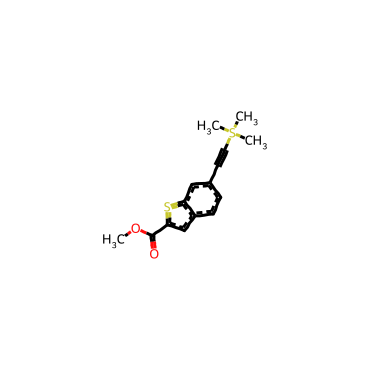 COC(=O)c1cc2ccc(C#CS(C)(C)C)cc2s1